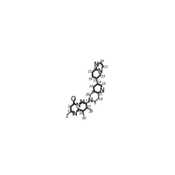 Cc1cc(=O)n2nc(N3CCc4ncc(-c5ccc6nccn6c5)cc4C3)c(C)c(C)c2n1